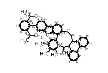 C=C1C2c3ccccc3-c3cccc[n+]3C2CCc2ccc3c(oc4nc(-c5c(C(C)C)cccc5C(C)C)ccc43)c2-c2cc(C)c(C)c(C)[n+]21